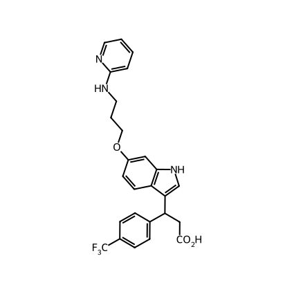 O=C(O)CC(c1ccc(C(F)(F)F)cc1)c1c[nH]c2cc(OCCCNc3ccccn3)ccc12